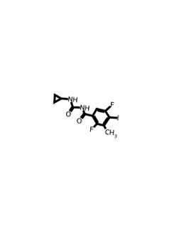 Cc1c(F)c(C(=O)NC(=O)NC2CC2)cc(F)c1I